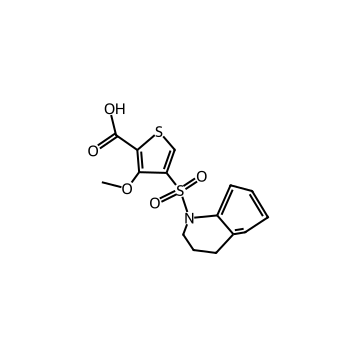 COc1c(S(=O)(=O)N2CCCc3ccccc32)csc1C(=O)O